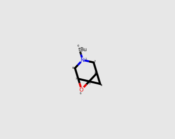 CC(C)(C)N1CC2CC23OC3C1